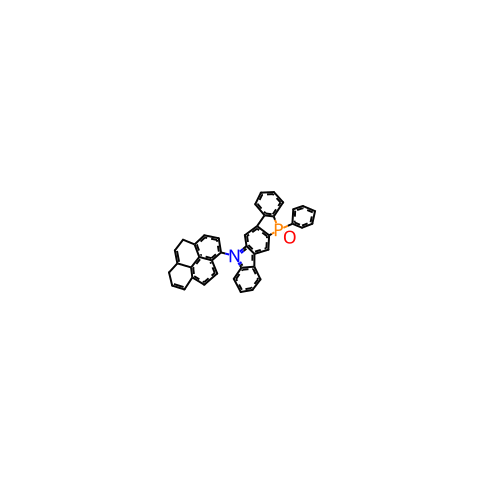 O=P1(c2ccccc2)c2ccccc2-c2cc3c(cc21)c1ccccc1n3-c1ccc2c3c4c(ccc13)C=CCC4=CC2